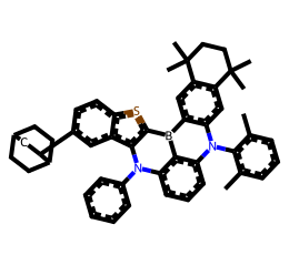 Cc1cccc(C)c1N1c2cc3c(cc2B2c4sc5ccc(C6CC7CCC6CC7)cc5c4N(c4ccccc4)c4cccc1c42)C(C)(C)CCC3(C)C